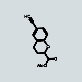 C#Cc1ccc2c(c1)CCC(C(=O)OC)O2